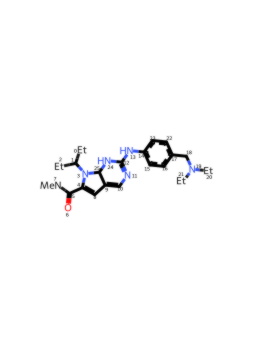 CCC(CC)N1C(C(=O)NC)=CC2=CN=C(Nc3ccc(CN(CC)CC)cc3)NC21